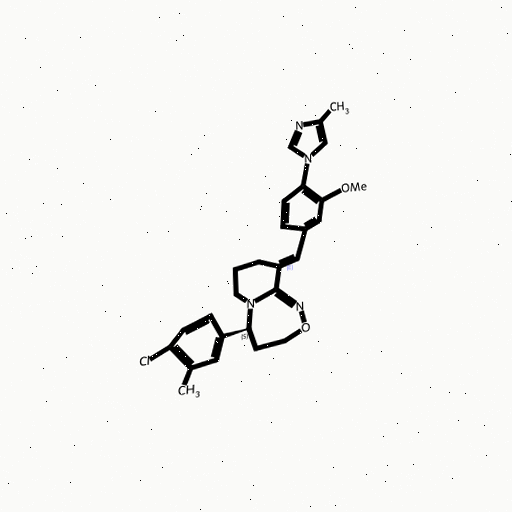 COc1cc(/C=C2\CCCN3C2=NOCC[C@H]3c2ccc(Cl)c(C)c2)ccc1-n1cnc(C)c1